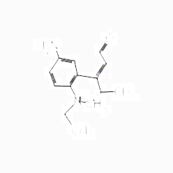 CCN(C)c1ccc(N)cc1/C(=C\C=O)C(C)C